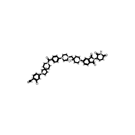 CC1(CN2CCN(c3ccc(C(=O)N4CCC5(CC4)CCN(c4ccc(C#N)c(Cl)c4)C5)cc3)CC2)CCN(c2ccc3c(c2)C(=O)N(C2CCC(=O)NC2=O)C3=O)CC1